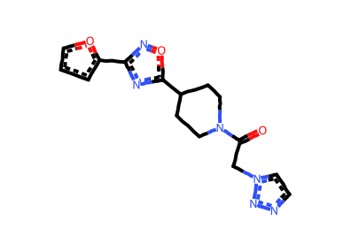 O=C(Cn1ccnn1)N1CCC(c2nc(-c3ccco3)no2)CC1